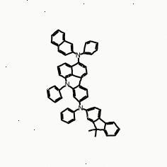 CC1(C)c2ccccc2-c2ccc(N(c3ccccc3)c3ccc4c(c3)N(c3ccccc3)c3cccc5c(N(c6ccccc6)c6ccc7ccccc7c6)ccc-4c35)cc21